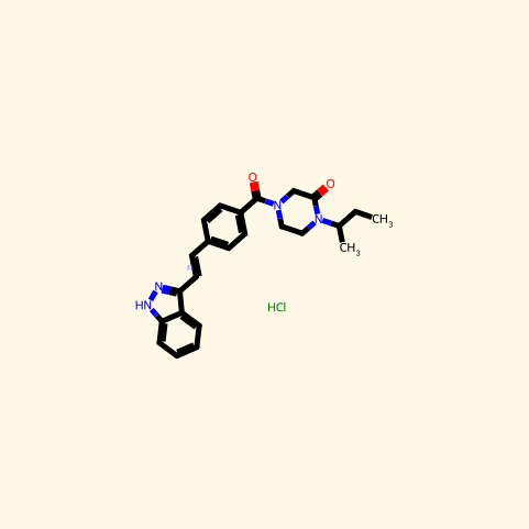 CCC(C)N1CCN(C(=O)c2ccc(/C=C/c3n[nH]c4ccccc34)cc2)CC1=O.Cl